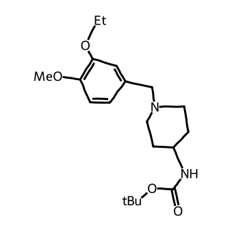 CCOc1cc(CN2CCC(NC(=O)OC(C)(C)C)CC2)ccc1OC